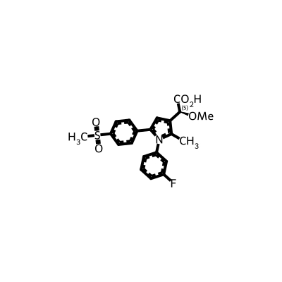 CO[C@H](C(=O)O)c1cc(-c2ccc(S(C)(=O)=O)cc2)n(-c2cccc(F)c2)c1C